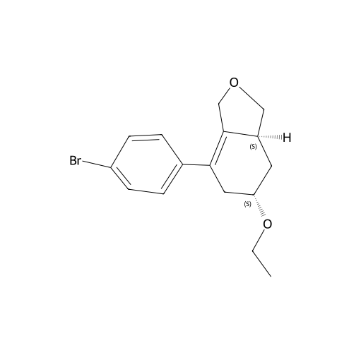 CCO[C@@H]1CC(c2ccc(Br)cc2)=C2COC[C@H]2C1